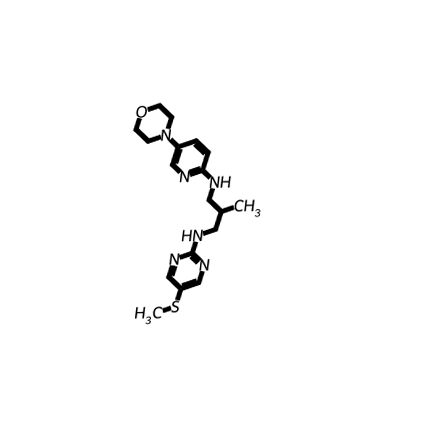 CSc1cnc(NCC(C)CNc2ccc(N3CCOCC3)cn2)nc1